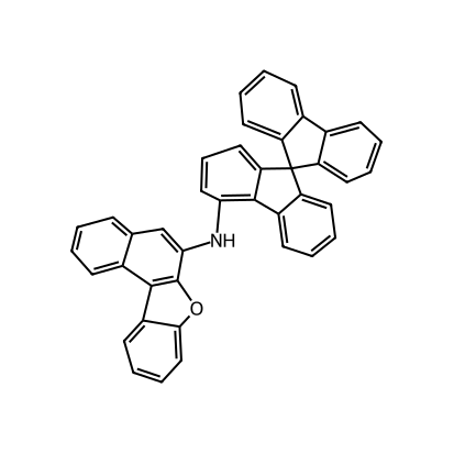 c1ccc2c(c1)-c1ccccc1C21c2ccccc2-c2c(Nc3cc4ccccc4c4c3oc3ccccc34)cccc21